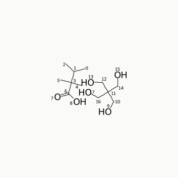 CC(C)C(C)(C)C(=O)O.OCC(CO)(CO)CO